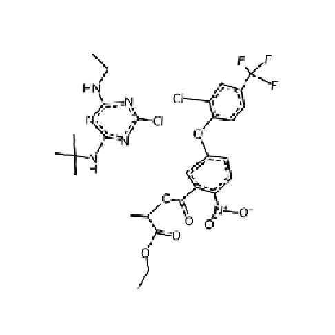 CCNc1nc(Cl)nc(NC(C)(C)C)n1.CCOC(=O)C(C)OC(=O)c1cc(Oc2ccc(C(F)(F)F)cc2Cl)ccc1[N+](=O)[O-]